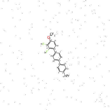 CCCc1ccc(-c2ccc(-c3ccc(OC(F)(F)F)c(F)c3F)cc2)cc1